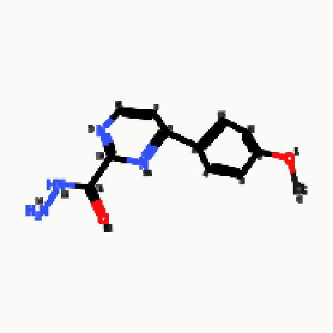 CCOc1ccc(-c2ccnc(C(=O)NN)n2)cc1